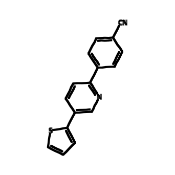 N#Cc1ccc(-c2ccc(-c3cccs3)cn2)cc1